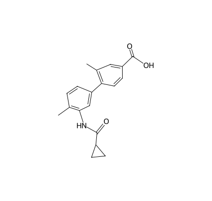 Cc1ccc(-c2ccc(C(=O)O)cc2C)cc1NC(=O)C1CC1